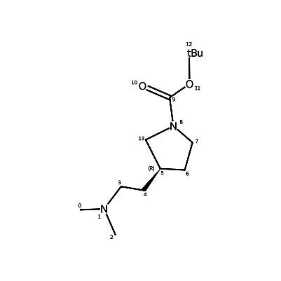 CN(C)CC[C@@H]1CCN(C(=O)OC(C)(C)C)C1